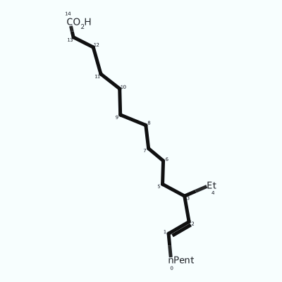 CCCCC/C=C/C(CC)CCCCCCCCCC(=O)O